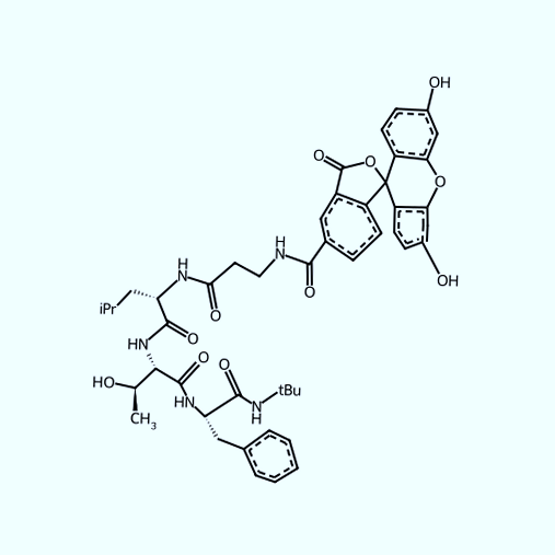 CC(C)C[C@H](NC(=O)CCNC(=O)c1ccc2c(c1)C(=O)OC21c2ccc(O)cc2Oc2cc(O)ccc21)C(=O)N[C@H](C(=O)N[C@@H](Cc1ccccc1)C(=O)NC(C)(C)C)[C@@H](C)O